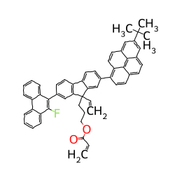 C=CC(=O)OCCCC1(C=C)c2cc(-c3c(F)c4ccccc4c4ccccc34)ccc2-c2ccc(-c3ccc4ccc5cc(C(C)(C)C)cc6ccc3c4c56)cc21